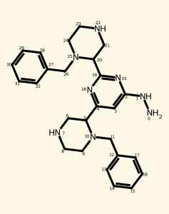 NNc1cc(C2CNCCN2Cc2ccccc2)nc(C2CNCCN2Cc2ccccc2)n1